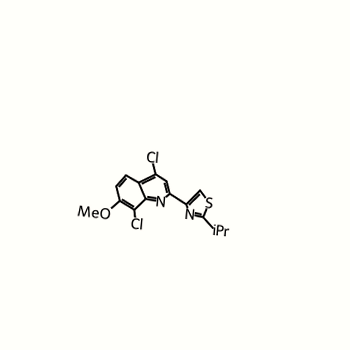 COc1ccc2c(Cl)cc(-c3csc(C(C)C)n3)nc2c1Cl